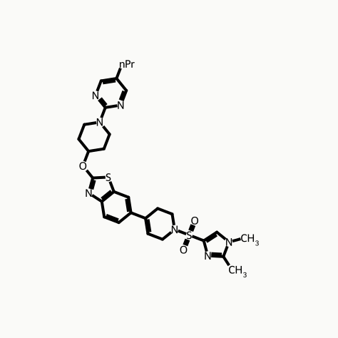 CCCc1cnc(N2CCC(Oc3nc4ccc(C5=CCN(S(=O)(=O)c6cn(C)c(C)n6)CC5)cc4s3)CC2)nc1